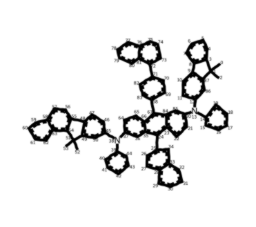 CC1(C)c2ccccc2-c2ccc(N(c3ccccc3)c3ccc4c(-c5ccc6ccccc6c5)c5cc(N(c6ccccc6)c6ccc7c(c6)C(C)(C)c6c-7ccc7ccccc67)ccc5c(-c5ccc(-c6cccc7ccccc67)cc5)c4c3)cc21